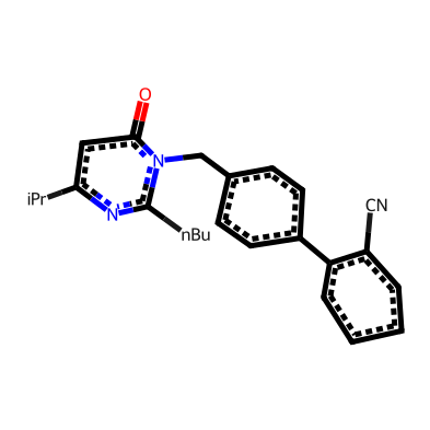 CCCCc1nc(C(C)C)cc(=O)n1Cc1ccc(-c2ccccc2C#N)cc1